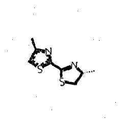 Cc1csc(C2=N[C@H](C)CS2)n1